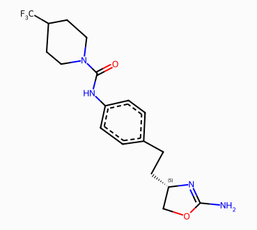 NC1=N[C@@H](CCc2ccc(NC(=O)N3CCC(C(F)(F)F)CC3)cc2)CO1